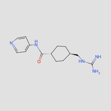 N=C(N)NC[C@H]1CC[C@H](C(=O)Nc2ccncc2)CC1